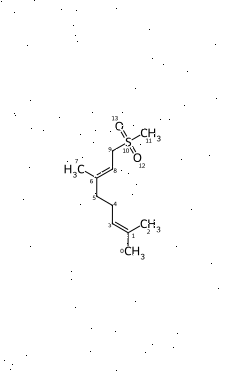 CC(C)=CCCC(C)=CCS(C)(=O)=O